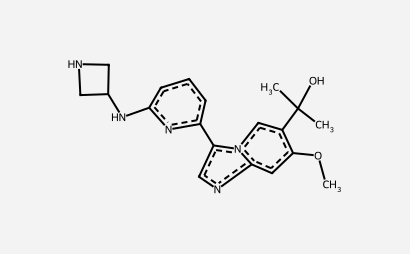 COc1cc2ncc(-c3cccc(NC4CNC4)n3)n2cc1C(C)(C)O